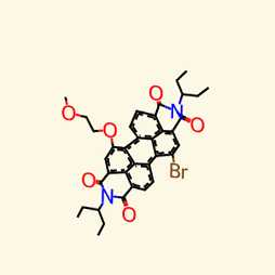 CCC(CC)N1C(=O)c2ccc3c4c(OCCOC)cc5c6c(ccc(c7c(Br)cc(c2c37)C1=O)c64)C(=O)N(C(CC)CC)C5=O